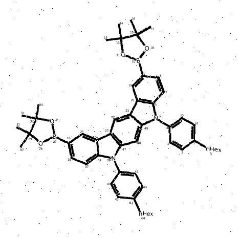 CCCCCCc1ccc(-n2c3ccc(B4OC(C)(C)C(C)(C)O4)cc3c3cc4c5cc(B6OC(C)(C)C(C)(C)O6)ccc5n(-c5ccc(CCCCCC)cc5)c4cc32)cc1